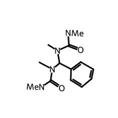 CNC(=O)N(C)C(c1ccccc1)N(C)C(=O)NC